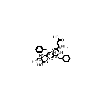 N[C@@H](CC(=O)O)C(=O)N[C@@H](CC1CCCCC1)C(=O)N[C@@H](Cc1ccccc1)C(=O)N[C@H](CO)C(=O)O